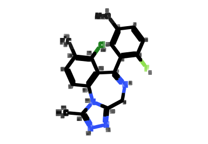 COc1ccc(F)c(C2=NCc3nnc(C)n3-c3ccc(C(F)(F)F)c(Cl)c32)c1